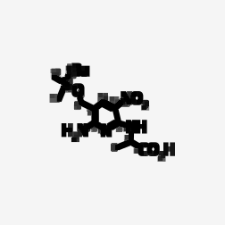 CC(Nc1nc(N)c(CO[Si](C)(C)C(C)(C)C)cc1[N+](=O)[O-])C(=O)O